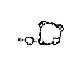 Brc1ccc(-c2cc3cc4nc(cc5ccc(cc6nc(cc2[nH]3)C=C6)[nH]5)C=C4)cc1